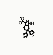 COC(=O)c1n[nH]c2c1C=CC(c1ccsc1)(c1ccsc1)C2